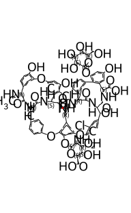 CN[C@H]1C(=O)N[C@@H]2Cc3ccc(cc3)Oc3cc4cc(c3O[C@@H]3O[C@H](C(=O)O)[C@@H](O)[C@H](O)[C@H]3N)Oc3ccc(cc3Cl)C(O)C3NC(=O)[C@H](NC(=O)[C@@H]4NC(=O)[C@@H](NC2=O)c2cc(cc(O)c2Cl)Oc2cc1ccc2O)c1cccc(c1)-c1c(O[C@H]2O[C@H](CO)[C@@H](O)[C@H](O)[C@@H]2O)cc(O)cc1[C@@H](C(=O)O)NC3=O